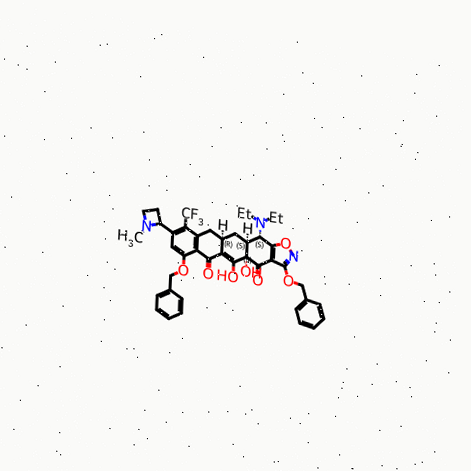 CCN(CC)[C@@H]1c2onc(OCc3ccccc3)c2C(=O)[C@@]2(O)C(O)=C3C(=O)c4c(OCc5ccccc5)cc(C5CCN5C)c(C(F)(F)F)c4C[C@H]3C[C@@H]12